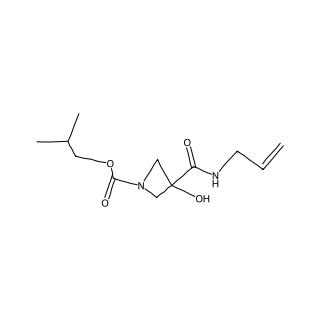 C=CCNC(=O)C1(O)CN(C(=O)OCC(C)C)C1